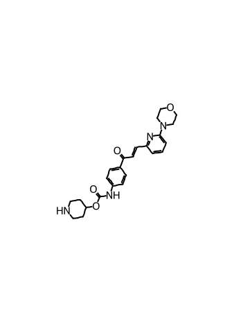 O=C(Nc1ccc(C(=O)C=Cc2cccc(N3CCOCC3)n2)cc1)OC1CCNCC1